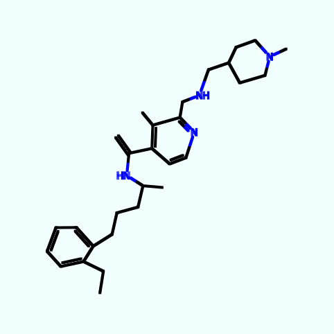 C=C(NC(C)CCCc1ccccc1CC)c1ccnc(CNCC2CCN(C)CC2)c1C